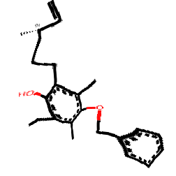 C=C[C@@H](C)CCc1c(C)c(OCc2ccccc2)c(C)c(C)c1O